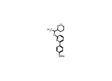 CSc1ccc(-c2cccc(OC(C)C3CCCOS3)n2)cc1